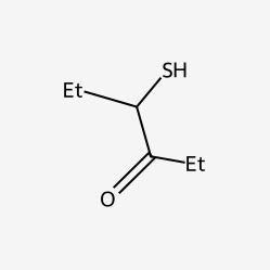 [CH2]CC(S)C(=O)CC